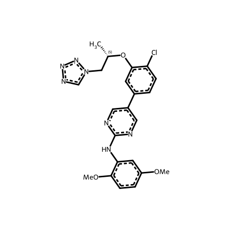 COc1ccc(OC)c(Nc2ncc(-c3ccc(Cl)c(O[C@@H](C)Cn4cnnn4)c3)cn2)c1